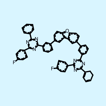 Fc1ccc(-c2nc(C3=CC=CCC3)nc(-c3cccc(-c4ccc5oc6ccc(-c7cccc(-c8nc(-c9ccccc9)nc(-c9ccc(F)cc9)n8)c7)cc6c5c4)c3)n2)cc1